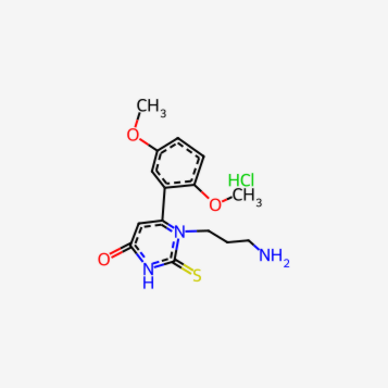 COc1ccc(OC)c(-c2cc(=O)[nH]c(=S)n2CCCN)c1.Cl